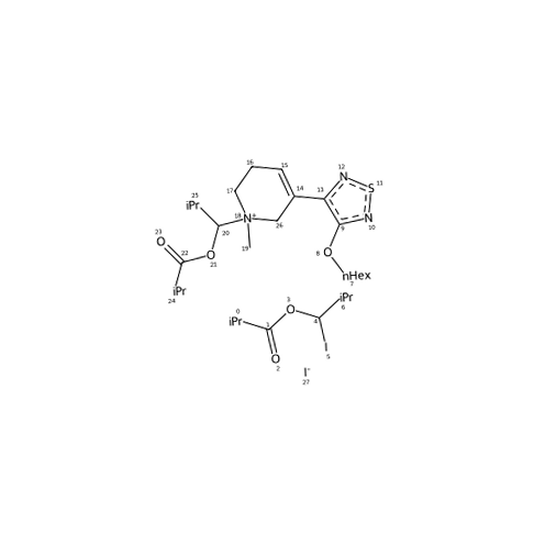 CC(C)C(=O)OC(I)C(C)C.CCCCCCOc1nsnc1C1=CCC[N+](C)(C(OC(=O)C(C)C)C(C)C)C1.[I-]